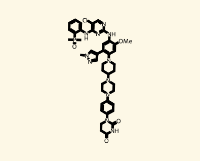 COc1cc(N2CCC(N3CCN(c4ccc(N5CCC(=O)NC5=O)cc4)CC3)CC2)c(-c2cnn(C)c2)cc1Nc1ncc(Cl)c(Nc2ccccc2P(C)(C)=O)n1